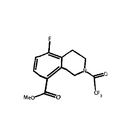 COC(=O)c1ccc(F)c2c1CN(C(=O)C(F)(F)F)CC2